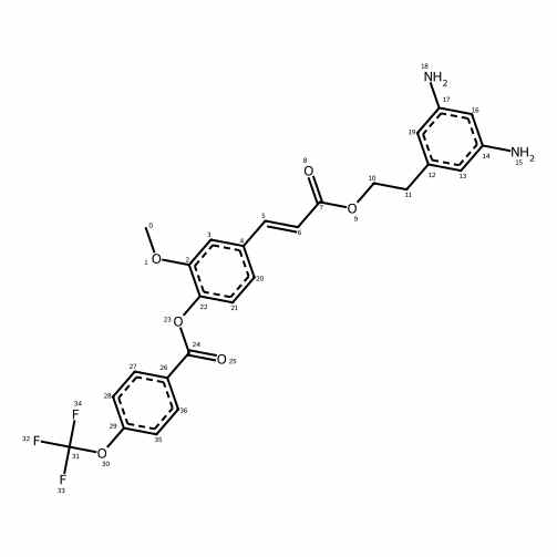 COc1cc(/C=C/C(=O)OCCc2cc(N)cc(N)c2)ccc1OC(=O)c1ccc(OC(F)(F)F)cc1